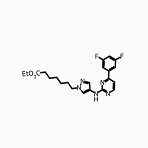 CCOC(=O)CCCCCCn1cc(Nc2nccc(-c3cc(F)cc(F)c3)n2)cn1